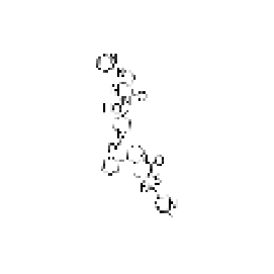 Cc1ccc(-c2nc(C)c(C(=O)N3CC[C@@H](C(=O)N4CCC(O)(Cn5cnc6c(ccn6-c6ccccn6)c5=O)CC4)[C@H](c4ccccc4)C3)s2)cn1